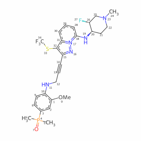 COc1cc(P(C)(C)=O)ccc1NCC#Cc1nn2c(N[C@@H]3CCN(C)C[C@@H]3F)cccc2c1SC(F)(F)F